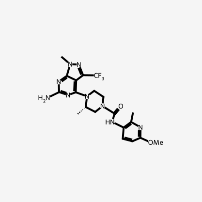 COc1ccc(NC(=O)N2CCN(c3nc(N)nc4c3c(C(F)(F)F)nn4C)[C@@H](C)C2)c(C)n1